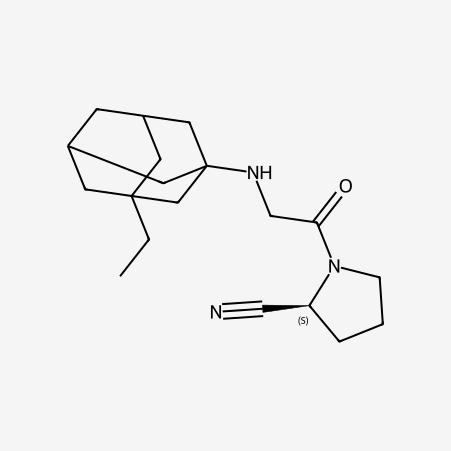 CCC12CC3CC(C1)CC(NCC(=O)N1CCC[C@H]1C#N)(C3)C2